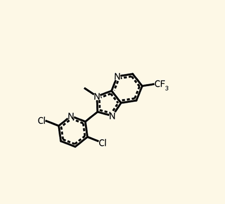 Cn1c(-c2nc(Cl)ccc2Cl)nc2cc(C(F)(F)F)cnc21